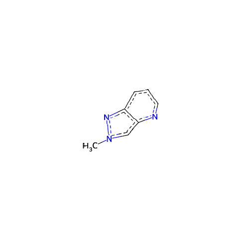 Cn1cc2ncccc2n1